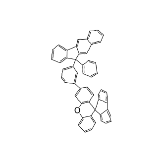 c1ccc(C2(c3cccc(-c4ccc5c(c4)Oc4ccccc4C54c5ccccc5-c5ccccc54)c3)c3ccccc3-c3cc4ccccc4cc32)cc1